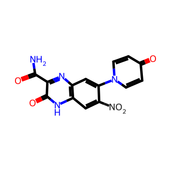 NC(=O)c1nc2cc(-n3ccc(=O)cc3)c([N+](=O)[O-])cc2[nH]c1=O